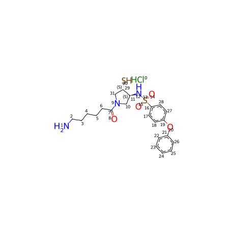 Cl.NCCCCCC(=O)N1C[C@H](NS(=O)(=O)c2ccc(Oc3ccccc3)cc2)[C@@H](S)C1